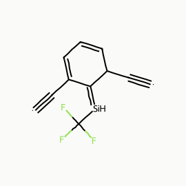 [C]#CC1=CC=CC(C#[C])C1=[SiH]C(F)(F)F